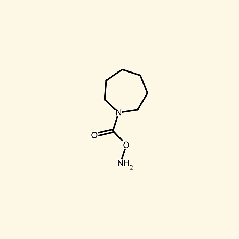 NOC(=O)N1CCCCCC1